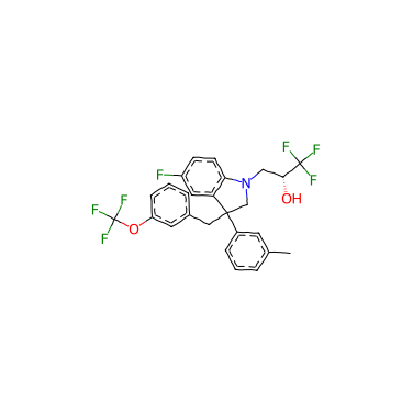 Cc1cccc(C2(Cc3cccc(OC(F)(F)F)c3)CN(C[C@@H](O)C(F)(F)F)c3ccc(F)cc32)c1